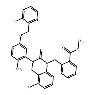 COC(=O)c1ccccc1CN1C(=O)N(c2cc(OCc3ncccc3F)ccc2C)Cc2c(Cl)cccc21